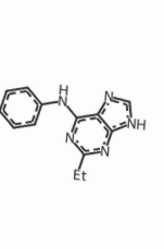 CCc1nc(Nc2ccccc2)c2nc[nH]c2n1